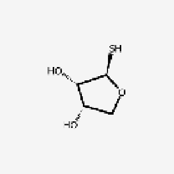 O[C@H]1[C@@H](O)CO[C@@H]1S